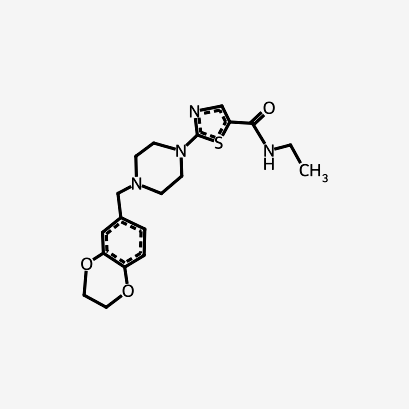 CCNC(=O)c1cnc(N2CCN(Cc3ccc4c(c3)OCCO4)CC2)s1